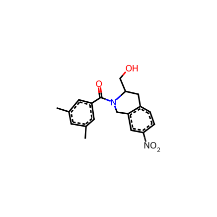 Cc1cc(C)cc(C(=O)N2Cc3cc([N+](=O)[O-])ccc3CC2CO)c1